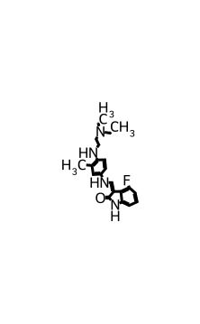 CCN(CC)CCNc1ccc(NC=C2C(=O)Nc3cccc(F)c32)cc1C